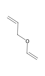 C=CCOC=C